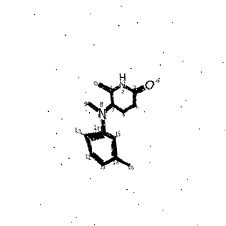 C=C1NC(=O)CCC1N(C)c1cccc(C)c1